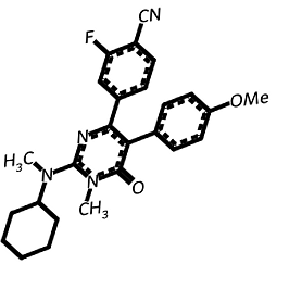 COc1ccc(-c2c(-c3ccc(C#N)c(F)c3)nc(N(C)C3CCCCC3)n(C)c2=O)cc1